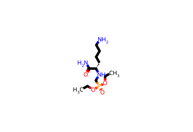 CCOP(=O)(CN[C@@H](CCCCN)C(N)=O)OCC